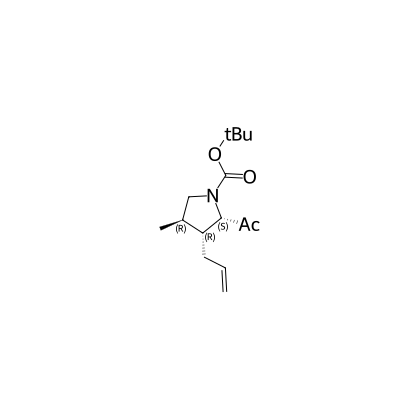 C=CC[C@H]1[C@@H](C(C)=O)N(C(=O)OC(C)(C)C)C[C@@H]1C